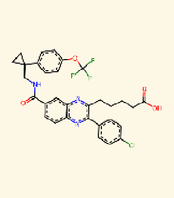 O=C(O)CCCCc1nc2cc(C(=O)NCC3(c4ccc(OC(F)(F)F)cc4)CC3)ccc2nc1-c1ccc(Cl)cc1